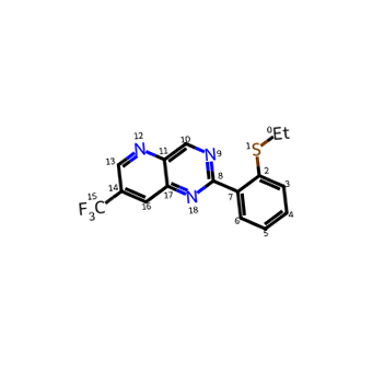 CCSc1ccccc1-c1ncc2ncc(C(F)(F)F)cc2n1